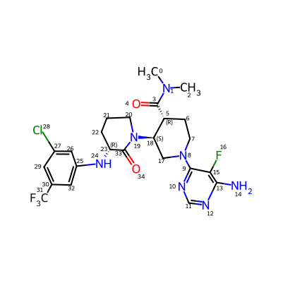 CN(C)C(=O)[C@@H]1CCN(c2ncnc(N)c2F)C[C@H]1N1CCC[C@@H](Nc2cc(Cl)cc(C(F)(F)F)c2)C1=O